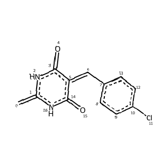 C=c1[nH]c(=O)c(=Cc2ccc(Cl)cc2)c(=O)[nH]1